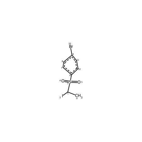 CC(I)S(=O)(=O)c1ccc(Br)cc1